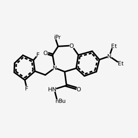 CCCCNC(=O)C1c2ccc(N(CC)CC)cc2OC(C(C)C)C(=O)N1Cc1c(F)cccc1F